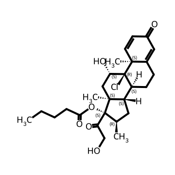 CCCCC(=O)O[C@@]1(C(=O)CO)[C@H](C)C[C@H]2[C@@H]3CCC4=CC(=O)C=C[C@]4(C)[C@@]3(Cl)[C@@H](O)C[C@@]21C